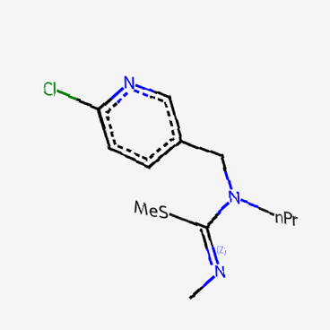 CCCN(Cc1ccc(Cl)nc1)/C(=N/C)SC